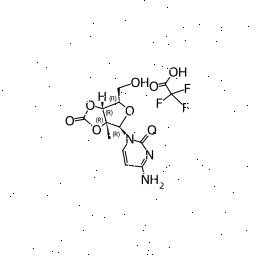 C[C@@]12OC(=O)O[C@@H]1[C@@H](CO)O[C@H]2n1ccc(N)nc1=O.O=C(O)C(F)(F)F